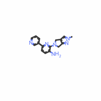 Cn1cc2c(n1)CN(c1nc(-c3cccnc3)ccc1N)C2